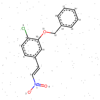 O=[N+]([O-])C=Cc1ccc(Cl)c(OCc2ccccc2)c1